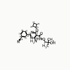 CC(C)(O)CONC(=O)c1c(N)nc(-c2cccc(C#N)c2)nc1OC1CCC1